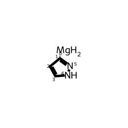 [MgH2].[c]1cc[nH]n1